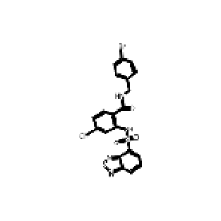 O=C(NCc1ccc(Br)cc1)c1ccc(Cl)cc1NS(=O)(=O)c1cccc2nsnc12